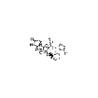 [N-]=[N+]=N[C@]1(COP2(=O)OCC[C@@H](c3c(Cl)cccc3Cl)O2)O[C@@H](n2ccc(=O)[nH]c2=O)[C@H](O)[C@@H]1O